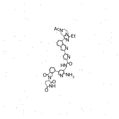 CCc1nc(-c2cccc3cc(-c4ccc(C(=O)NCc5cc(-c6cccc7c6CN(C6CCC(=O)NC6=O)C7=O)cnc5N)nc4)ncc23)c2n1CCN(C(C)=O)C2